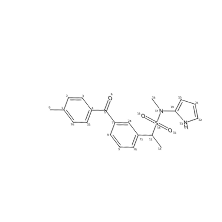 Cc1ccc(C(=O)c2cccc(C(C)S(=O)(=O)N(C)c3ccc[nH]3)c2)cc1